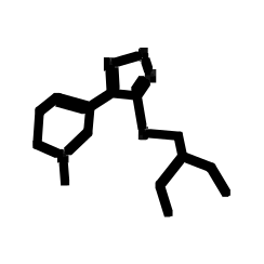 CCC(CC)CSc1nsnc1C1=CCCN(C)C1